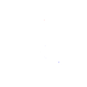 Nc1nc(=O)n(C2CC(F)C(CO)O2)cc1I